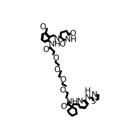 CN(Cc1c(C=O)cccc1NC(=O)CCOCCOCCOCCOCCNC(=O)C1(Cc2cccc(Nc3nccs3)n2)CCCCC1)C1CCC(=O)NC1=O